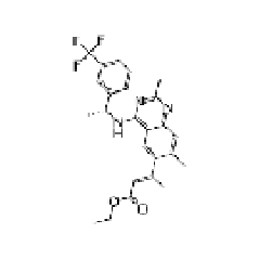 CCOC(=O)/C=C(\C)c1cc2c(N[C@H](C)c3cccc(C(F)(F)F)c3)nc(C)nc2cc1C